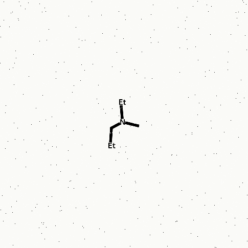 CCCN(C)CC